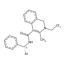 CC(=O)[C@@H](NC(=O)C1=C(C)N(CC(F)(F)F)Cc2ccccc21)c1ccccc1